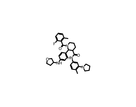 Cc1ccc(NC(=O)C2CCCN(C(=O)c3c(C)cccc3F)C2c2ccc(NC3CCOC3)cc2)cc1N1CCCC1